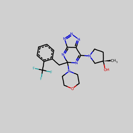 C[C@]1(O)CCN(C2=NC(Cc3ccccc3C(F)(F)F)(N3CCOCC3)N=C3N=NN=C32)C1